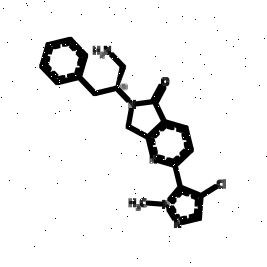 Cn1ncc(Cl)c1-c1ccc2c(n1)CN([C@H](CN)Cc1ccccc1)C2=O